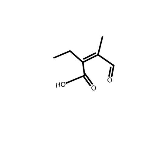 CC/C(C(=O)O)=C(\C)C=O